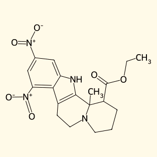 CCOC(=O)C1CCCN2CCc3c([nH]c4cc([N+](=O)[O-])cc([N+](=O)[O-])c34)C12C